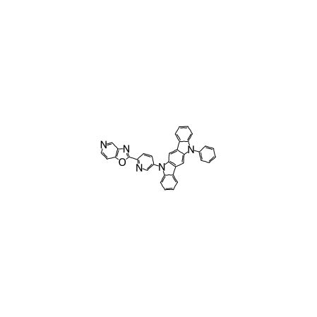 c1ccc(-n2c3ccccc3c3cc4c(cc32)c2ccccc2n4-c2ccc(-c3nc4cnccc4o3)nc2)cc1